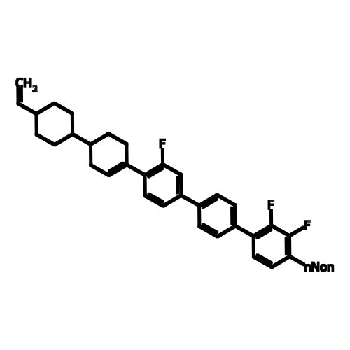 C=CC1CCC(C2CC=C(c3ccc(-c4ccc(-c5ccc(CCCCCCCCC)c(F)c5F)cc4)cc3F)CC2)CC1